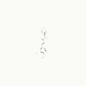 COc1cc(C=CC(=O)NC2CC3CCC(C2)N3C)cc(OC)c1OC